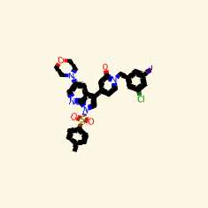 Cc1ccc(S(=O)(=O)n2cc(-c3ccn(Cc4cc(Cl)cc(I)c4)c(=O)c3)c3cc(N4CCOCC4)cnc32)cc1